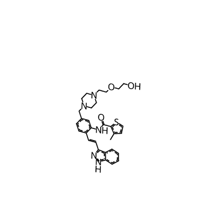 Cc1ccsc1C(=O)Nc1cc(CN2CCN(CCOCCO)CC2)ccc1/C=C/c1n[nH]c2ccccc12